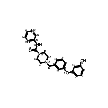 N#Cc1cccc(Oc2cccc(CN3CCN(C(=O)Nc4cnccn4)CC3)c2)c1